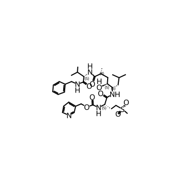 CC(C)C[C@H](NC(=O)[C@H](CCS(C)(=O)=O)NC(=O)OCc1cccnc1)[C@@H](O)C[C@@H](C)C(=O)N[C@H](C(=O)NCc1ccccc1)C(C)C